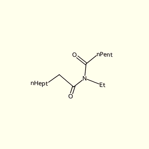 CCCCCCCCC(=O)N(CC)C(=O)CCCCC